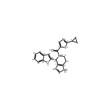 O=C(c1cnc(C2CC2)s1)N1CCc2[nH]cnc2[C@H]1c1cc2ccccc2o1